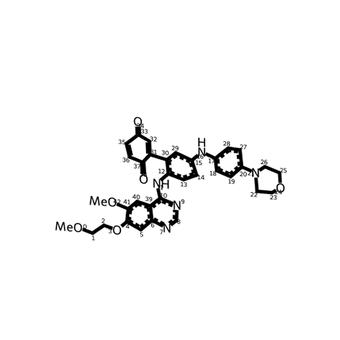 COCCOc1cc2ncnc(Nc3ccc(Nc4ccc(N5CCOCC5)cc4)cc3C3=CC(=O)C=CC3=O)c2cc1OC